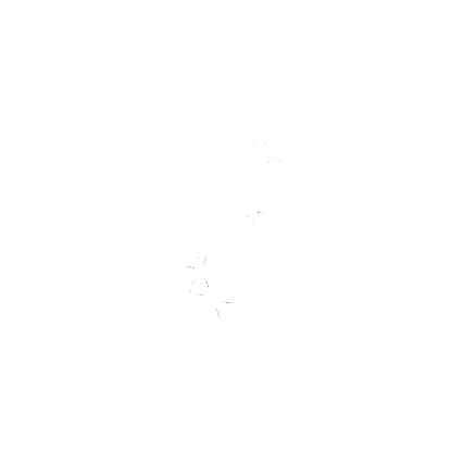 CC(C)(C)CC[C@H](NC(=O)c1ccc(Oc2cccc(OCCOCCOCCNC(=O)CCCC[C@@H]3SC[C@@H]4NC(=O)N[C@@H]43)c2)nc1)C(=O)O